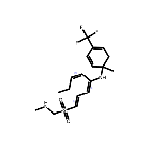 CC\C=C/C(=C\C=C\S(=O)(=O)CNC)NC1(C)C=CC(C(F)(F)F)=CC1